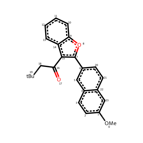 COc1ccc2cc(-c3oc4ccccc4c3C(=O)CC(C)(C)C)ccc2c1